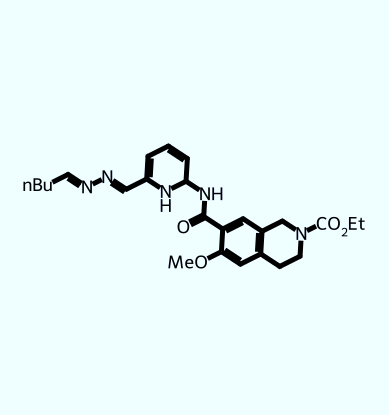 CCCC/C=N/N=C/C1=CC=CC(NC(=O)c2cc3c(cc2OC)CCN(C(=O)OCC)C3)N1